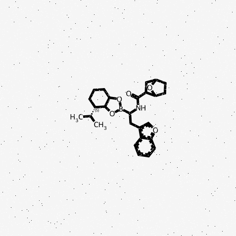 CC(C)[C@@H]1CCCC2OB(C(Cc3coc4ccccc34)NC(=O)C3CC4CCC3O4)OC21